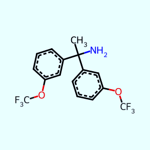 CC(N)(c1cccc(OC(F)(F)F)c1)c1cccc(OC(F)(F)F)c1